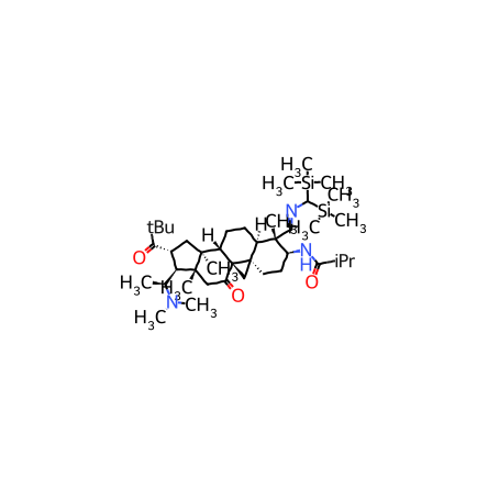 CC(C)C(=O)N[C@H]1CC[C@]23C[C@]24C(=O)C[C@]2(C)[C@@H]([C@H](C)N(C)C)[C@H](C(=O)C(C)(C)C)C[C@@]2(C)[C@@H]4CC[C@H]3[C@]1(C)C=NC([Si](C)(C)C)[Si](C)(C)C